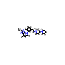 CCc1nc2c(C)cc(C)nc2n1Cc1ccc(CCN2CCC(N3CCCCC3)CC2)cc1